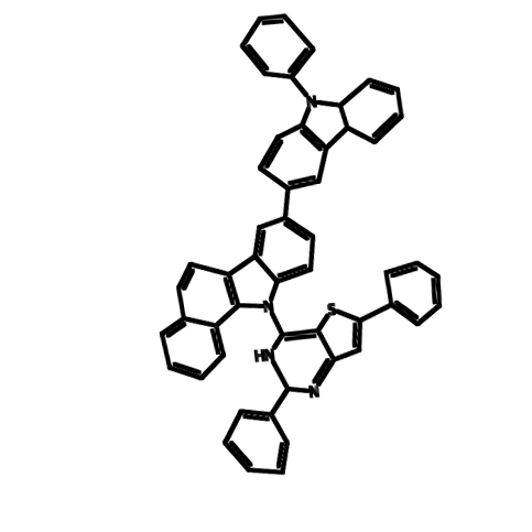 C1=CC2c3cc(-c4ccc5c(c4)c4ccc6ccccc6c4n5C4=c5sc(-c6ccccc6)cc5=NC(c5ccccc5)N4)ccc3N(c3ccccc3)C2C=C1